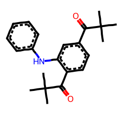 CC(C)(C)C(=O)c1ccc(C(=O)C(C)(C)C)c(Nc2ccccc2)c1